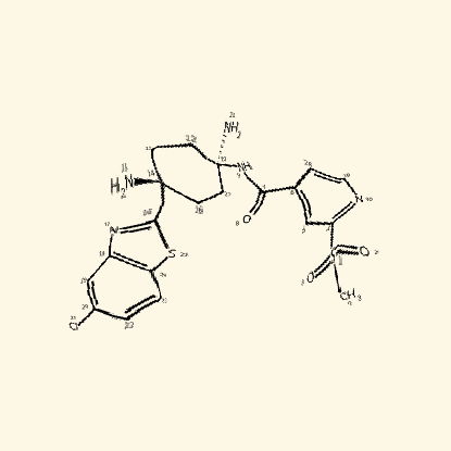 CS(=O)(=O)c1cc(C(=O)N[C@]2(N)CC[C@@](N)(c3nc4cc(Cl)ccc4s3)CC2)ccn1